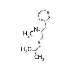 C=NC(C/C=C/C(C)C)Cc1ccccc1